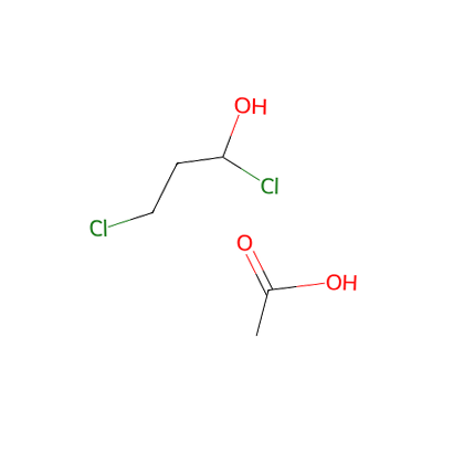 CC(=O)O.OC(Cl)CCCl